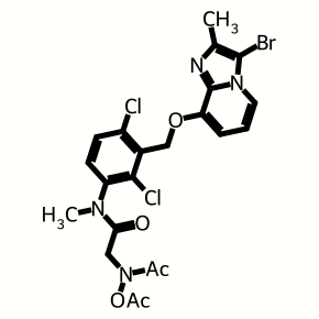 CC(=O)ON(CC(=O)N(C)c1ccc(Cl)c(COc2cccn3c(Br)c(C)nc23)c1Cl)C(C)=O